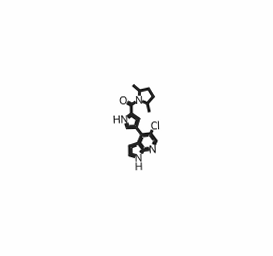 CC1CCC(C)N1C(=O)c1cc(-c2c(Cl)cnc3[nH]ccc23)c[nH]1